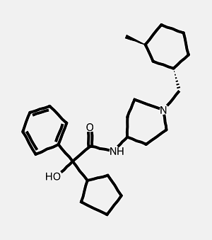 C[C@H]1CCC[C@H](CN2CCC(NC(=O)C(O)(c3ccccc3)C3CCCC3)CC2)C1